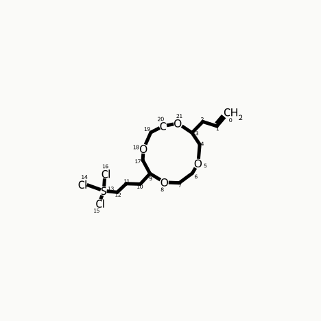 C=CCC1COCCOC(CCCS(Cl)(Cl)Cl)COCCO1